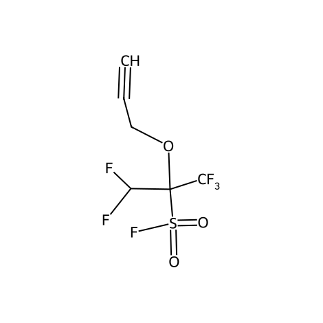 C#CCOC(C(F)F)(C(F)(F)F)S(=O)(=O)F